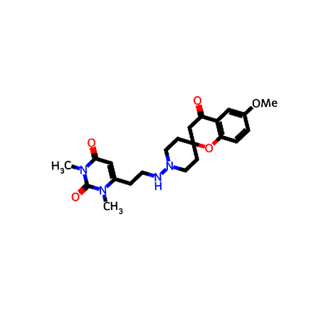 COc1ccc2c(c1)C(=O)CC1(CCN(NCCc3cc(=O)n(C)c(=O)n3C)CC1)O2